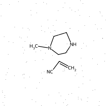 C=CC#N.CN1CCNCC1